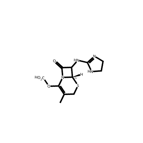 CC1=C(OC(=O)O)N2C(=O)C(NC3=NCCN3)[C@@H]2SC1